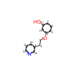 Oc1cccc(OCCc2cccnc2)c1